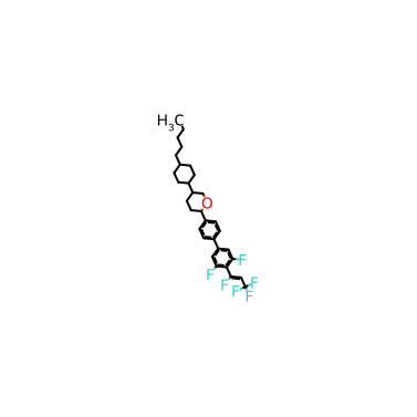 CCCCCC1CCC(C2CCC(c3ccc(-c4cc(F)c(/C(F)=C/C(F)(F)F)c(F)c4)cc3)OC2)CC1